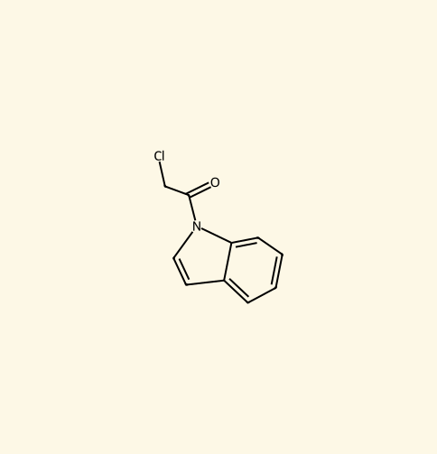 O=C(CCl)n1ccc2ccccc21